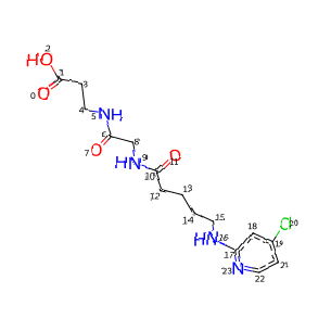 O=C(O)CCNC(=O)CNC(=O)CCCCNc1cc(Cl)ccn1